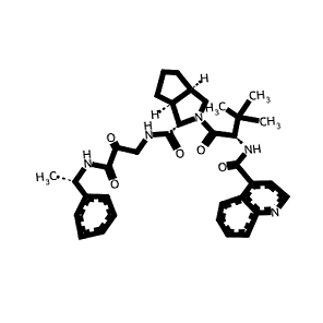 C[C@H](NC(=O)C(=O)CNC(=O)[C@@H]1[C@H]2CCC[C@H]2CN1C(=O)[C@@H](NC(=O)c1ccnc2ccccc12)C(C)(C)C)c1ccccc1